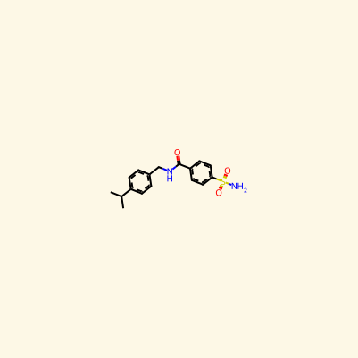 CC(C)c1ccc(CNC(=O)c2ccc(S(N)(=O)=O)cc2)cc1